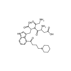 NCC(=O)N(C(=O)C(N)CC(=O)O)C(Cc1c[nH]c2cccc(C(=O)CCCN3CCCCC3)c12)C(=O)O